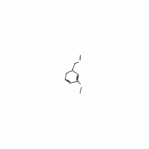 CNCC1C=C(OC)C=CC1